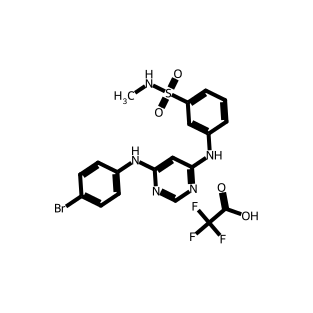 CNS(=O)(=O)c1cccc(Nc2cc(Nc3ccc(Br)cc3)ncn2)c1.O=C(O)C(F)(F)F